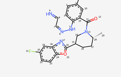 Cc1ccc(N/N=C\C=N)c(C(=O)N2CC(c3nc4cc(F)ccc4o3)CC[C@H]2C)c1